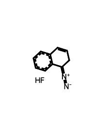 F.[N-]=[N+]=C1CC=Cc2ccccc21